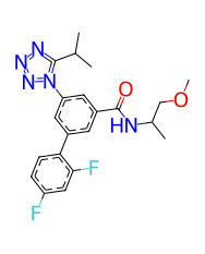 COCC(C)NC(=O)c1cc(-c2ccc(F)cc2F)cc(-n2nnnc2C(C)C)c1